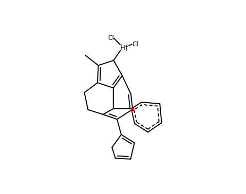 CC1=C2CCC3=C(C4=CC=CC4)C=CC(=C2C3c2ccccc2)[CH]1[Hf]([Cl])[Cl]